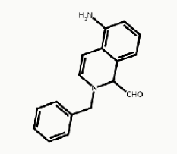 Nc1cccc2c1C=CN(Cc1ccccc1)C2C=O